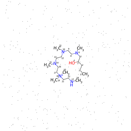 CCCC(O)CN(C)CCN(C)CCN(C)CC[N+](C)(C)CCNC